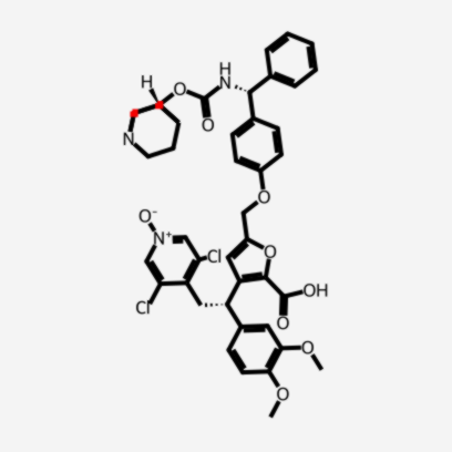 COc1ccc([C@H](Cc2c(Cl)c[n+]([O-])cc2Cl)c2cc(COc3ccc([C@H](NC(=O)O[C@H]4CN5CCC4CC5)c4ccccc4)cc3)oc2C(=O)O)cc1OC